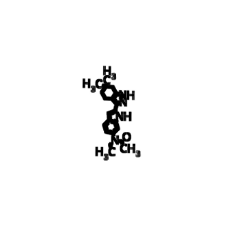 CCN(C(C)=O)c1ccc2cc(-c3n[nH]c4c3CCC(C)(C)C4)[nH]c2c1